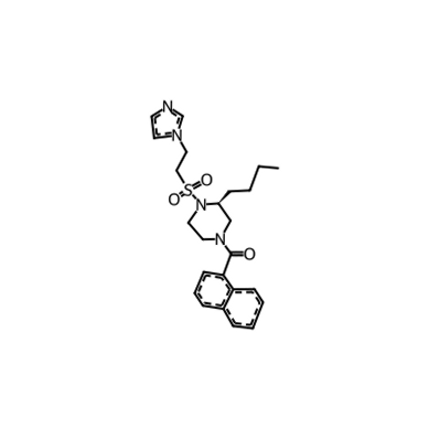 CCCC[C@H]1CN(C(=O)c2cccc3ccccc23)CCN1S(=O)(=O)CCn1ccnc1